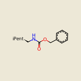 CCC[C@H](C)CNC(=O)OCc1ccccc1